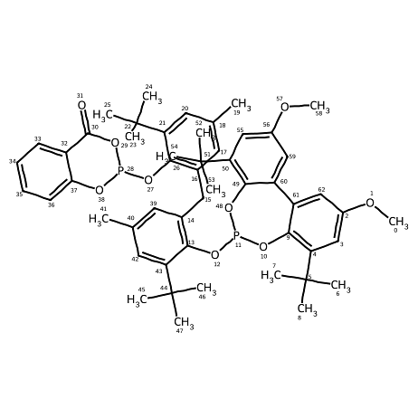 COc1cc(C(C)(C)C)c2op(Oc3c(Cc4cc(C)cc(C(C)(C)C)c4OP4OC(=O)c5ccccc5O4)cc(C)cc3C(C)(C)C)oc3c(C(C)(C)C)cc(OC)cc3c2c1